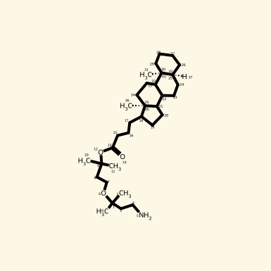 CC(C)(CCN)OCCC(C)(C)OC(=O)CCCC1CCC2C3CC[C@@H]4CCCC[C@]4(C)C3CC[C@]12C